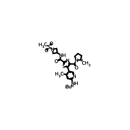 CC[C@@H](C)Nc1cc(C)c(-c2sc(C(=O)NC3CN(S(C)(=O)=O)C3)nc2C(=O)N2CCC[C@@H]2C)cn1